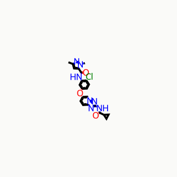 Cc1cc(C(=O)Nc2cc(Oc3ccc4nc(NC(=O)C5CC5)nn4c3)ccc2Cl)n(C)n1